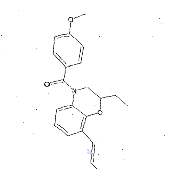 C/C=C/c1cccc2c1OC(CC)CN2C(=O)c1ccc(OC)cc1